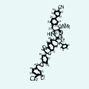 CC[C@H](c1ccccc1)N1Cc2cc3c(cc2C[C@H]1C(=O)N[C@@H](Cc1ccc(-c2ccc(C#N)cc2)cc1)C(=O)OC)OC[C@H](c1ccc(OCc2ccc(Cl)c(Cl)c2)cc1)O3